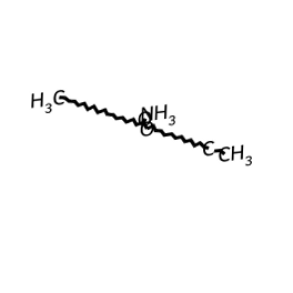 CCCCCCCCCCCCCCCCCC(=O)OCCCCCCCCCCCCCCCC.N